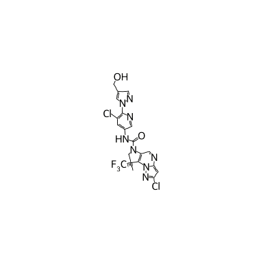 C[C@@]1(C(F)(F)F)CN(C(=O)Nc2cnc(-n3cc(CO)cn3)c(Cl)c2)c2cnc3cc(Cl)nn3c21